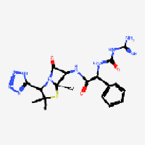 CC1(C)S[C@H]2C(NC(=O)C(NC(=O)NC(=N)N)c3ccccc3)C(=O)N2C1c1nnn[nH]1